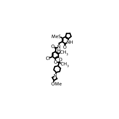 COC1CN(C2CCC(C3(C)Oc4c(Cl)cc(C(=O)NCc5c(SC)c6c([nH]c5=O)CCC6)c(C)c4O3)CC2)C1